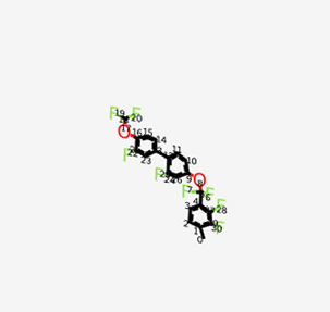 Cc1ccc(C(F)(F)Oc2ccc(-c3ccc(OC(F)F)c(F)c3)c(F)c2)c(F)c1F